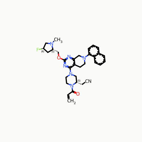 C=CC(=O)N1CCN(c2nc(OC[C@@H]3C[C@@H](F)CN3C)nc3c2CCN(c2cccc4ccccc24)C3)C[C@@H]1CC#N